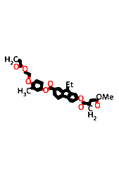 C=CC(=O)OCCOc1ccc(OC(=O)c2ccc3c(c2)C(CC)c2cc(OC(=O)C(=C)CC(=O)OC)ccc2-3)cc1C